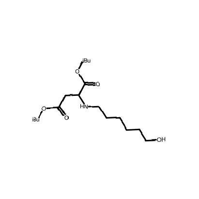 CCC(C)OC(=O)CC(NCCCCCCO)C(=O)OC(C)CC